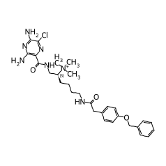 C[N+](C)(C)[C@@H](CCCCNC(=O)Cc1ccc(OCc2ccccc2)cc1)CNC(=O)c1nc(Cl)c(N)nc1N